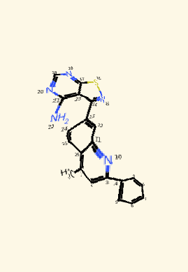 Cc1cc(-c2ccccc2)nc2cc(-c3nsc4ncnc(N)c34)ccc12